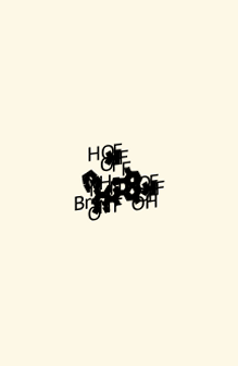 C#Cc1c(F)ccc2cc(O)cc(-c3ncc4c(N5CC6CCC(C5)N6)c(Br)c(=O)n(C)c4c3F)c12.O=C(O)C(F)(F)F.O=C(O)C(F)(F)F